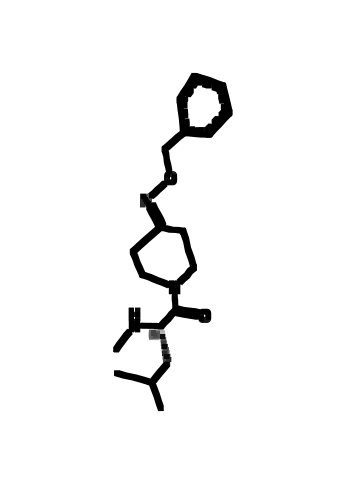 CN[C@@H](CC(C)C)C(=O)N1CCC(=NOCc2ccccc2)CC1